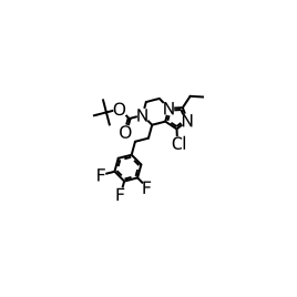 CCc1nc(Cl)c2n1CCN(C(=O)OC(C)(C)C)C2CCc1cc(F)c(F)c(F)c1